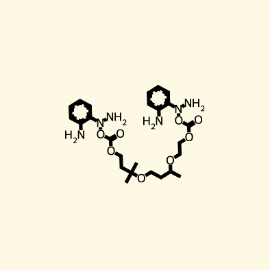 CC(CCOC(C)(C)CCOC(=O)ON(N)c1ccccc1N)OCCOC(=O)ON(N)c1ccccc1N